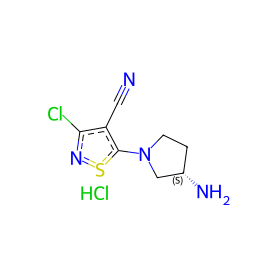 Cl.N#Cc1c(Cl)nsc1N1CC[C@H](N)C1